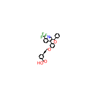 O=C(O)c1cccc(C#CCOc2cccc(-c3c(C(=O)c4ccccc4)cnc4c(C(F)(F)F)cccc34)c2)c1